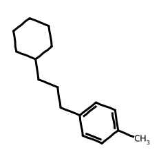 Cc1ccc(CCCC2CCCCC2)cc1